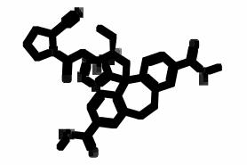 CC[C@@H](CC1(c2nnn[nH]2)c2ccc(C(=O)NC)cc2CCc2cc(C(=O)NC)ccc21)NCC(=O)N1CCCC1C#N